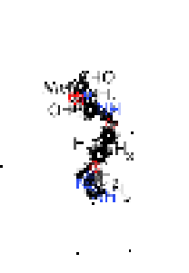 CNC(=O)C(CCC=O)N(C)C(=O)c1cc(NC2CC(Oc3ccc(C(C)(C)c4ccc(OCC5C=CN=C(N6CCNC(C)C6)N5C)cc4)cc3)C2)ccc1C=O